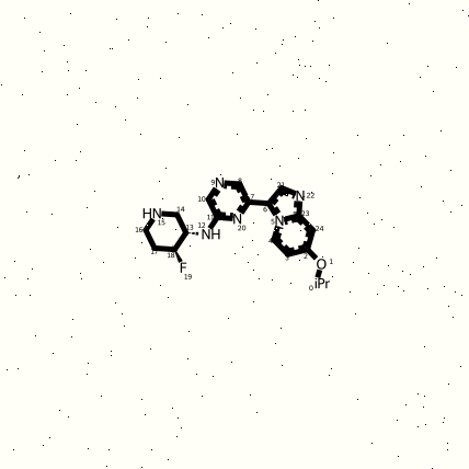 CC(C)Oc1ccn2c(-c3cncc(N[C@H]4CNCC[C@@H]4F)n3)cnc2c1